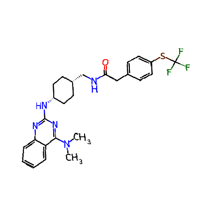 CN(C)c1nc(N[C@H]2CC[C@@H](CNC(=O)Cc3ccc(SC(F)(F)F)cc3)CC2)nc2ccccc12